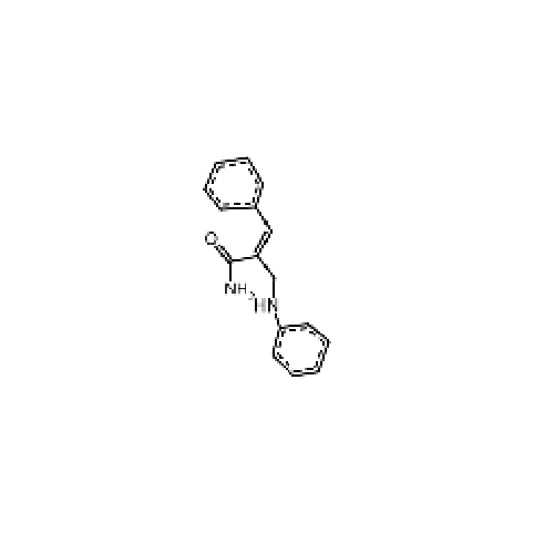 NC(=O)C(=Cc1ccccc1)CNc1ccccc1